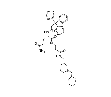 NC(=O)CC[C@H](NC(=O)CC(c1ccccc1)(c1ccccc1)c1ccccc1)C(=O)NCCC(=O)NC[C@H]1CCCN(CC2CCCCC2)C1